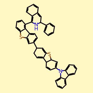 C1=CC2C3=CCC(c4ccc5c(c4)sc4cccc(C6=c7ccccc7=CC(c7ccccc7)N6)c45)C=C3SC2C=C1n1c2ccccc2c2ccccc21